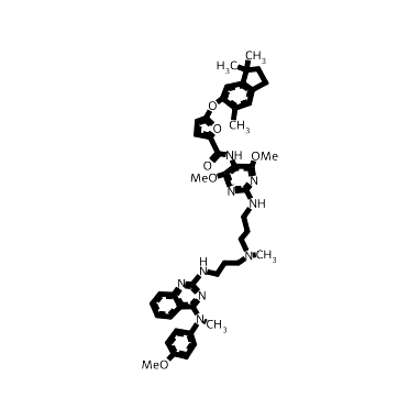 COc1ccc(N(C)c2nc(NCCCN(C)CCCNc3nc(OC)c(NC(=O)c4ccc(Oc5cc6c(cc5C)CCC6(C)C)o4)c(OC)n3)nc3ccccc23)cc1